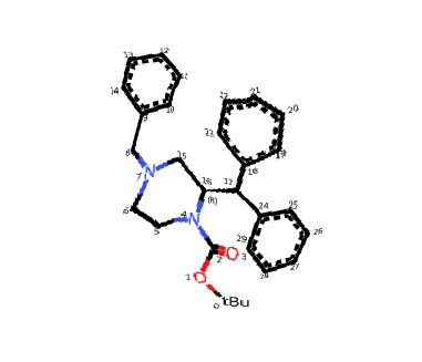 CC(C)(C)OC(=O)N1CCN(Cc2ccccc2)C[C@H]1C(c1ccccc1)c1ccccc1